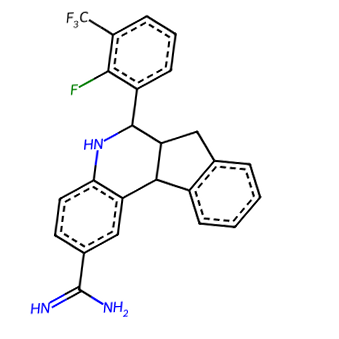 N=C(N)c1ccc2c(c1)C1c3ccccc3CC1C(c1cccc(C(F)(F)F)c1F)N2